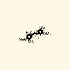 COc1cc(CCC(C)(C)c2ccc(OC)c(C)c2)cc(C(C)(C)C)c1